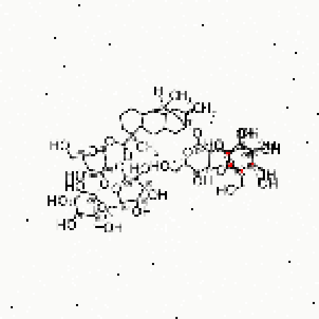 C=C1CC2C3CC4C(CCC[C@@]4(C)C(=O)O[C@@H]4O[C@H](CO)[C@@H](O)[C@H](O[C@@H]5O[C@H](CO)[C@@H](O)[C@H](O)[C@H]5O)[C@H]4O[C@@H]4O[C@@H](C)[C@H](O)[C@@H](O)[C@H]4O)C2[C@@H](C)C[C@]1(O[C@@H]1O[C@H](CO)[C@@H](O)[C@H](O[C@@H]2O[C@H](CO)[C@@H](O)[C@H](O)[C@H]2O)[C@H]1O[C@@H]1O[C@H](CO)[C@@H](O)[C@H](O)[C@H]1O)C3